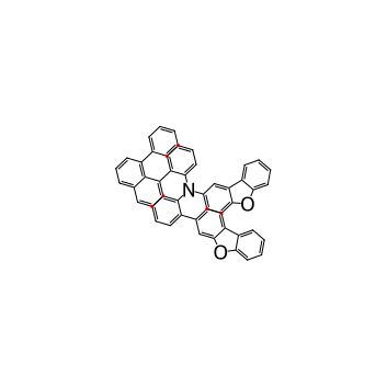 c1ccc(-c2cccc3cccc(-c4ccccc4N(c4ccc5oc6ccccc6c5c4)c4ccccc4-c4ccc5c(c4)oc4ccccc45)c23)cc1